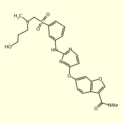 CNC(=O)c1coc2cc(Oc3ccnc(Nc4cccc(S(=O)(=O)CN(C)CCCO)c4)n3)ccc12